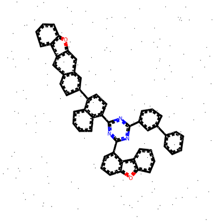 c1ccc(-c2cccc(-c3nc(-c4ccc(-c5ccc6cc7c(cc6c5)oc5ccccc57)c5ccccc45)nc(-c4cccc5oc6ccccc6c45)n3)c2)cc1